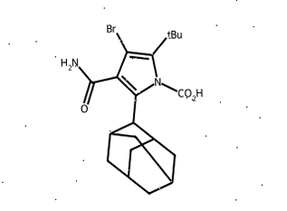 CC(C)(C)c1c(Br)c(C(N)=O)c(C2C3CC4CC(C3)CC2C4)n1C(=O)O